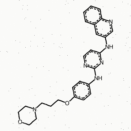 c1ccc2ncc(Nc3ccnc(Nc4ccc(OCCCN5CCOCC5)cc4)n3)cc2c1